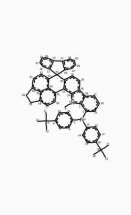 Cn1c2c(N(c3ccc(C(C)(C)C)cc3)c3ccc(C(C)(C)C)cc3)cccc2c2ccc3c(c21)-c1ccc2c4c(ccc(c14)C31c3ccccc3-c3ccccc31)CC2